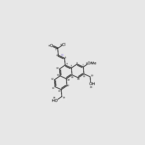 COc1cc2c(/C=C/C(=O)Cl)cc3ccc(CO)cc3c2cc1CO